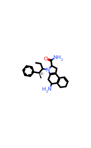 CCC([C@@H](C)c1ccccc1)N1C2=C(CC1C(N)=O)C1=C(CCC=C1)C(N)C2